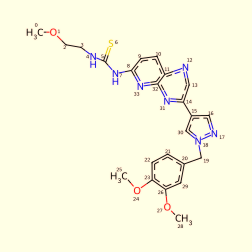 COCCNC(=S)Nc1ccc2ncc(-c3cnn(Cc4ccc(OC)c(OC)c4)c3)nc2n1